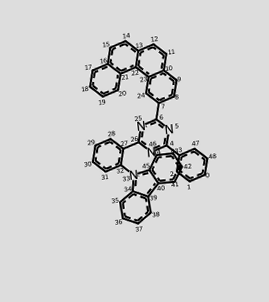 c1ccc(-c2nc(-c3ccc4ccc5ccc6ccccc6c5c4c3)nc(-c3ccccc3-n3c4ccccc4c4ccccc43)n2)cc1